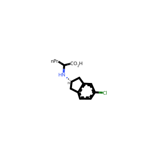 CCCC(N[C@H]1Cc2ccc(Cl)cc2C1)C(=O)O